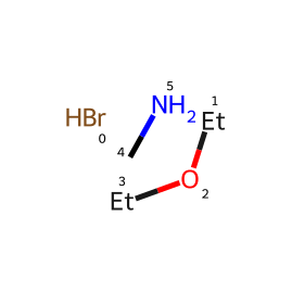 Br.CCOCC.CN